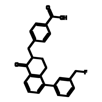 O=C(O)c1ccc(CC2CCc3c(cccc3-c3cccc(CF)c3)C2=O)cc1